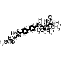 CNCC(=O)NCc1nc(-c2ccc(-c3ccc(-c4c[nH]c(C(NC(=O)C(NC=O)C(C)C)C(C)(C)C)n4)cc3)cc2)c[nH]1